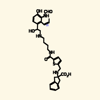 C/C=C\c1c(C(O)CNCCCCNC(=O)c2ccc(CNC3(C(=O)O)Cc4ccccc4C3)s2)ccc(O)c1NC=O